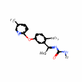 CCNC(=O)N=C(SC)c1cc(Oc2ccc(C(F)(F)F)cn2)ccc1[N+](=O)[O-]